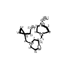 CCC(C)N1CCN(C[C@H]2CN(CC3(CC(C)C)CC3)CCO2)CC1